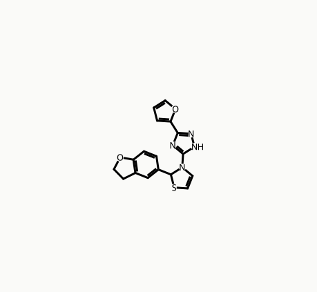 C1=CN(c2nc(-c3ccco3)n[nH]2)C(c2ccc3c(c2)CCO3)S1